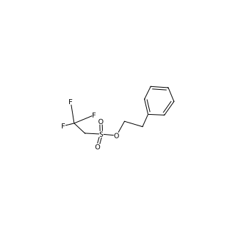 O=S(=O)(CC(F)(F)F)OCCc1ccccc1